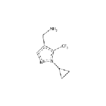 NCc1cnn(C2CC2)c1C(F)(F)F